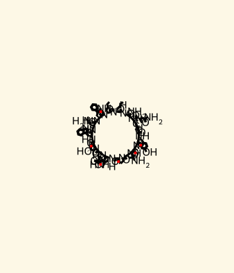 CCCC[C@H]1C(=O)N(C)[C@@H](CCCC)C(=O)N[C@@H](CN)C(=O)N[C@H](C(=O)NCC(N)=O)CSCC(=O)N[C@@H](Cc2ccc(O)cc2)C(=O)N(C)[C@@H](C)C(=O)N[C@@H](CC(N)=O)C(=O)N2CCC[C@H]2C(=O)N[C@@H](Cc2c[nH]cn2)C(=O)N[C@@H](CCC(=O)O)C(=O)N2C[C@H](O)C[C@H]2C(=O)N[C@@H](Cc2c[nH]c3ccccc23)C(=O)N[C@@H](CCN)C(=O)N[C@@H](Cc2c[nH]c3ccccc23)C(=O)N1C